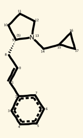 C(=Cc1ccccc1)C[C@@H]1CCCN1CC1CC1